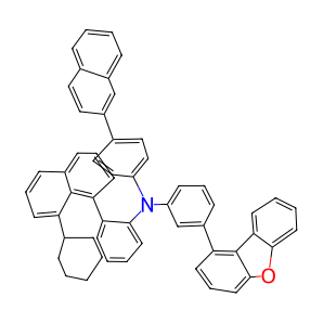 c1cc(-c2cccc3oc4ccccc4c23)cc(N(c2ccc(-c3ccc4ccccc4c3)cc2)c2ccccc2-c2cccc3cccc(C4CCCCC4)c23)c1